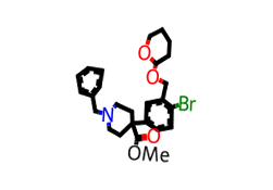 COC(=O)C1(c2ccc(Br)c(COC3CCCCO3)c2)CCN(Cc2ccccc2)CC1